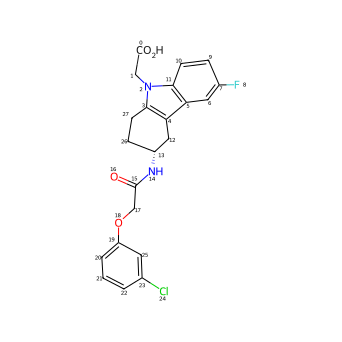 O=C(O)Cn1c2c(c3cc(F)ccc31)C[C@H](NC(=O)COc1cccc(Cl)c1)CC2